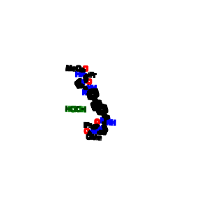 COC(=O)N[C@H](C(=O)N1CCC[C@H]1c1nc(-c2ccc3cc(-c4ccc5[nH]c([C@@H]6CCCN6C(=O)[C@@H](NC(=O)OC)C(C)C)nc5c4)ccc3c2)c[nH]1)C(C)C.Cl.Cl